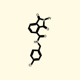 CC(C)N1C(=O)c2cc[c]c(C(=O)NCc3ccc(Cl)cc3)c2C1=O